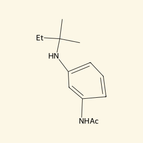 CCC(C)(C)Nc1cccc(NC(C)=O)c1